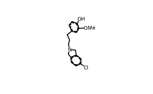 COc1cc(CCCN2Cc3ccc(Cl)cc3C2)ccc1O